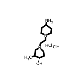 CC1CN(CCN2CCC(N)CC2)CC[C@@H]1O.Cl.Cl